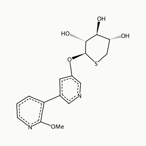 COc1ncccc1-c1cncc(O[C@@H]2SC[C@@H](O)[C@H](O)[C@H]2O)c1